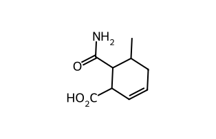 CC1CC=CC(C(=O)O)C1C(N)=O